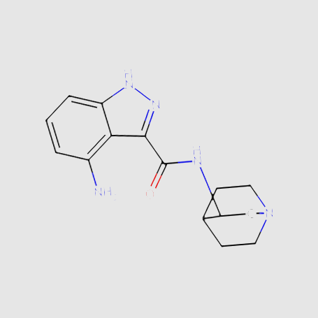 Nc1cccc2[nH]nc(C(=O)NC3CN4CCC3CC4)c12